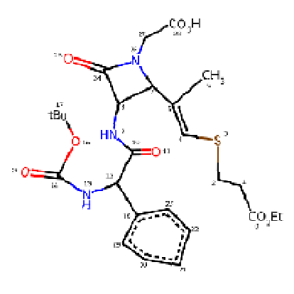 CCOC(=O)CCSC=C(C)C1C(NC(=O)C(NC(=O)OC(C)(C)C)c2ccccc2)C(=O)N1CC(=O)O